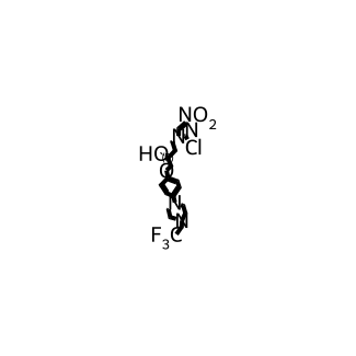 O=[N+]([O-])c1cn(CC[C@@H](O)COc2ccc(N3CCN(CC(F)(F)F)CC3)cc2)c(Cl)n1